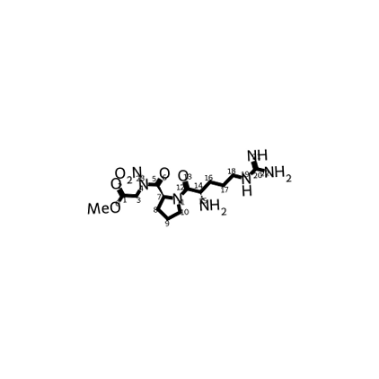 COC(=O)CN(C(=O)[C@@H]1CCCN1C(=O)[C@@H](N)CCCNC(=N)N)[N+](=O)[O-]